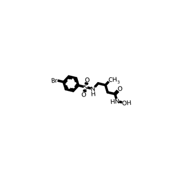 CC(CNS(=O)(=O)c1ccc(Br)cc1)CC(=O)NO